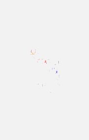 CCOC(=O)C1CC1c1ccc(NCc2ccc3c(c2)-c2ccc(OCC4(O)CCS(=O)(=O)CC4)cc2CCC3)cc1